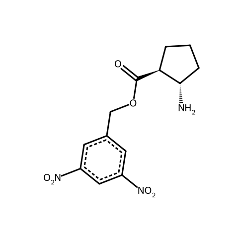 N[C@H]1CCC[C@@H]1C(=O)OCc1cc([N+](=O)[O-])cc([N+](=O)[O-])c1